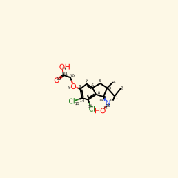 CC(C)C1(C)Cc2cc(OCC(=O)O)c(Cl)c(Cl)c2C1=NO